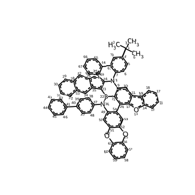 CC(C)(C)c1ccc(N2c3cc4c(oc5ccccc54)c4c3B(c3c2sc2cc5ccccc5cc32)N(c2ccc(-c3ccccc3)cc2)c2cc3c(cc2-4)Oc2ccccc2O3)c(-c2ccccc2)c1